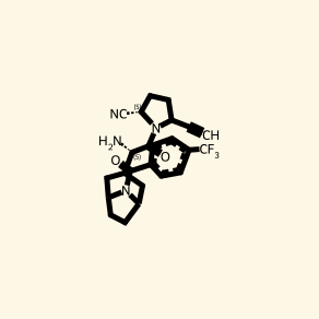 C#CC1CC[C@@H](C#N)N1C(=O)[C@@H](N)C1CC2CCC(C1)N2C(=O)c1ccc(C(F)(F)F)cc1